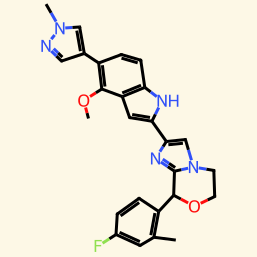 COc1c(-c2cnn(C)c2)ccc2[nH]c(-c3cn4c(n3)C(c3ccc(F)cc3C)OCC4)cc12